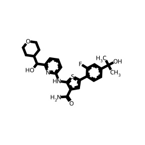 CC(C)(O)c1ccc(-c2cc(C(N)=O)c(Nc3cccc(C(O)C4CCOCC4)n3)s2)c(F)c1